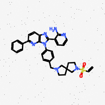 C=CS(=O)(=O)N1CCC2(CCN(Cc3ccc(-n4c(-c5cccnc5N)nc5ccc(-c6ccccc6)nc54)cc3)C2)C1